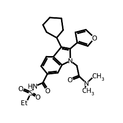 CCS(=O)(=O)NC(=O)c1ccc2c(C3CCCCC3)c(-c3ccoc3)n(CC(=O)N(C)C)c2c1